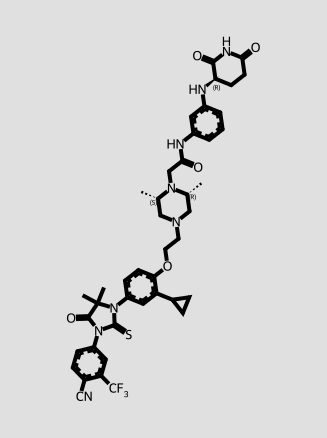 C[C@@H]1CN(CCOc2ccc(N3C(=S)N(c4ccc(C#N)c(C(F)(F)F)c4)C(=O)C3(C)C)cc2C2CC2)C[C@H](C)N1CC(=O)Nc1cccc(N[C@@H]2CCC(=O)NC2=O)c1